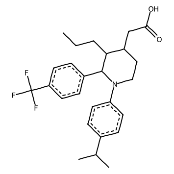 CCCC1C(CC(=O)O)CCN(c2ccc(C(C)C)cc2)C1c1ccc(C(F)(F)F)cc1